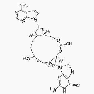 Nc1nc2c(ncn2[C@@H]2OC3OC(O)CC[C@H]4C[C@H](n5ccc6c(N)ncnc65)O[C@@H]4COP(O)O[C@@H]2[C@@H]3F)c(=O)[nH]1